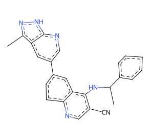 Cc1n[nH]c2ncc(-c3ccc4ncc(C#N)c(NC(C)c5ccccc5)c4c3)cc12